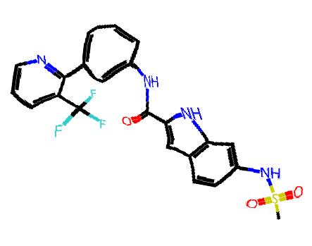 CS(=O)(=O)Nc1ccc2cc(C(=O)Nc3cccc(-c4ncccc4C(F)(F)F)c3)[nH]c2c1